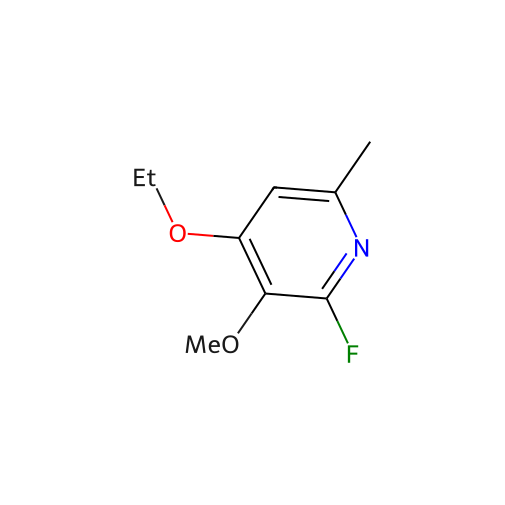 CCOc1cc(C)nc(F)c1OC